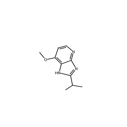 COc1ccnc2nc(C(C)C)[nH]c12